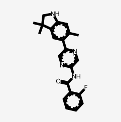 Cc1cc2c(cc1-c1cnc(NC(=O)c3ccccc3F)cn1)C(C)(C)CN2